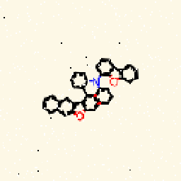 c1ccc(N(c2ccccc2-c2cccc3oc4cc5ccccc5cc4c23)c2cccc3c2oc2ccccc23)cc1